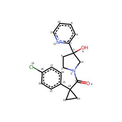 O=C(N1CCC(O)(c2ccccn2)C1)C1(c2ccc(Cl)cc2)CC1